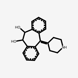 OC1c2ccccc2C(=C2CCNCC2)c2ccccc2C1O